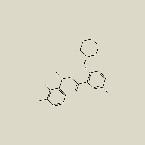 C[C@@H](NC(=O)c1cc(Br)cnc1N[C@@H]1COCC[C@H]1O)c1cccc(C(F)(F)F)c1F